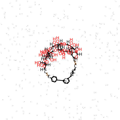 OC[C@H]1O[C@@H]2O[C@H]3C(O)C(O)[C@@H]4O[C@@H]3CSCc3ccc(cc3)-c3cccc(c3)-c3ccc(cc3)CSC[C@H]3O[C@H](O[C@H]5C(O)C(O)[C@H](O[C@@H]5CO)O[C@H]5C(O)C(O)[C@H](O[C@@H]5CO)O[C@H]1C(O)C2O)C(O)C(O)[C@@H]3O[C@@H]1O[C@H](CO)[C@@H](O[C@H]2O[C@H](CO)[C@@H](O4)C(O)C2O)C(O)C1O